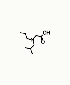 CCCN(CC(=O)O)CC(C)C